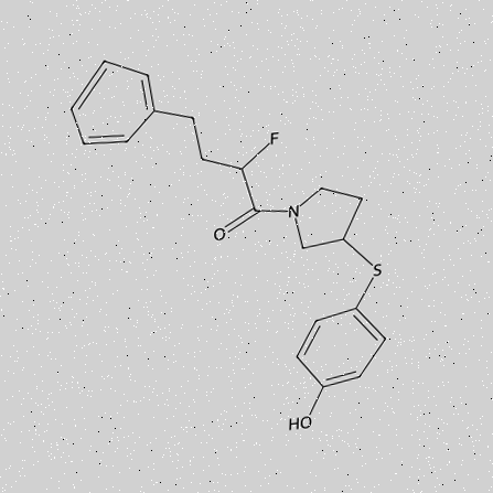 O=C(C(F)CCc1ccccc1)N1CCC(Sc2ccc(O)cc2)C1